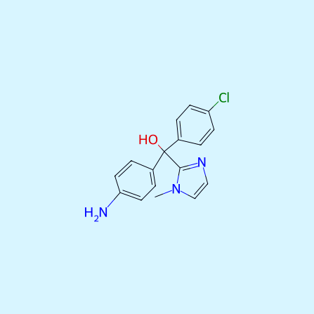 Cn1ccnc1C(O)(c1ccc(N)cc1)c1ccc(Cl)cc1